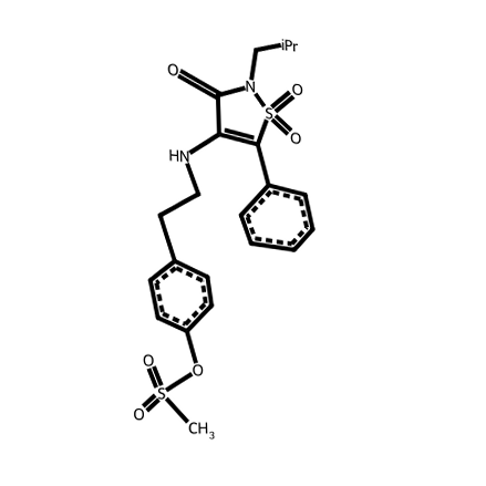 CC(C)CN1C(=O)C(NCCc2ccc(OS(C)(=O)=O)cc2)=C(c2ccccc2)S1(=O)=O